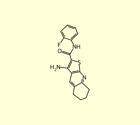 Nc1c(C(=O)Nc2ccccc2F)sc2nc3c(cc12)CCCC3